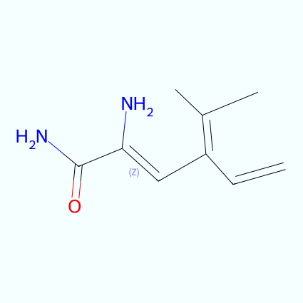 C=CC(/C=C(\N)C(N)=O)=C(C)C